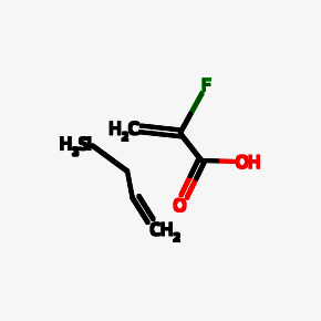 C=C(F)C(=O)O.C=CC[SiH3]